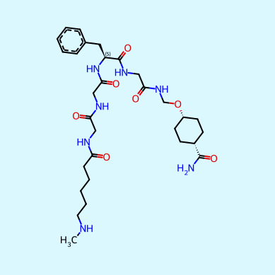 CNCCCCCC(=O)NCC(=O)NCC(=O)N[C@@H](Cc1ccccc1)C(=O)NCC(=O)NCO[C@H]1CC[C@@H](C(N)=O)CC1